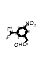 O=CCc1cc(C(F)F)cc([N+](=O)[O-])c1